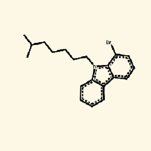 CC(C)CCCCCn1c2ccccc2c2cccc(Br)c21